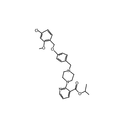 COc1cc(Cl)ccc1COc1ccc(CN2CCN(c3ncccc3C(=O)OC(C)C)CC2)cc1